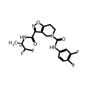 C[C@@H](NC(=O)c1noc2c1CN(C(=O)Nc1ccc(F)c(F)c1)CC2)C(F)F